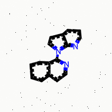 c1ccc2c(-n3ccc4cccnc43)nccc2c1